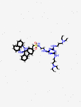 CCN(CC)CCCNc1nc(NCCCN(CC)CC)nc(NCCNS(=O)(=O)Cc2ccc3c(c2)C2(Nc4cccc5cccc(c45)N2)c2ccccc2-3)n1